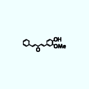 COc1cc(C=CC(=O)C=Cc2ccccc2)ccc1O